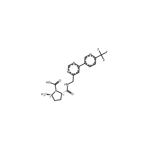 C[C@@H]1CC[C@@H](C(=O)NCc2cc(-c3ccc(C(F)(F)F)nc3)ncn2)N1C(=O)O